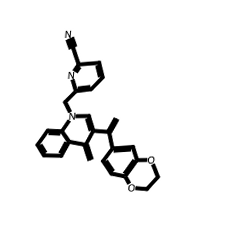 C=C(C1=CN(Cc2cccc(C#N)n2)c2ccccc2C1=C)c1ccc2c(c1)OCCO2